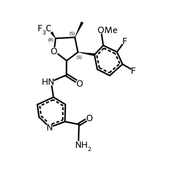 COc1c([C@H]2C(C(=O)Nc3ccnc(C(N)=O)c3)O[C@@H](C(F)(F)F)[C@H]2C)ccc(F)c1F